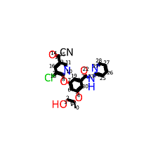 C[C@@H](CO)Oc1cc(Oc2ncc(C(=O)C#N)cc2Cl)cc(C(=O)Nc2ccccn2)c1